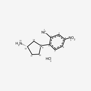 Cl.N#Cc1cc([N+](=O)[O-])ccc1N1CC[C@H](N)C1